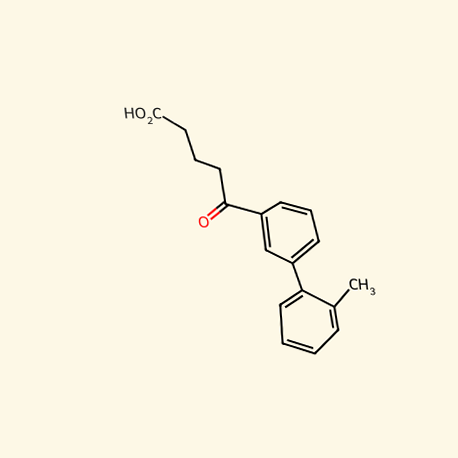 Cc1ccccc1-c1cccc(C(=O)CCCC(=O)O)c1